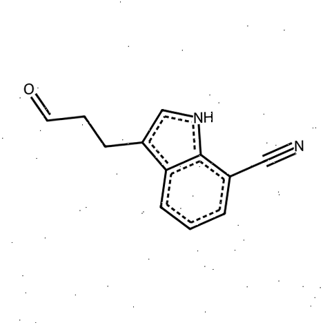 N#Cc1cccc2c(CCC=O)c[nH]c12